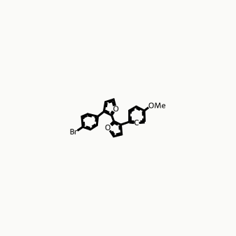 COc1ccc(-c2ccoc2-c2occc2-c2ccc(Br)cc2)cc1